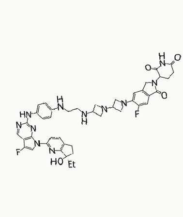 CC[C@@]1(O)CCc2ccc(-n3cc(F)c4cnc(Nc5ccc(NCCNC6CN(C7CN(c8cc9c(cc8F)C(=O)N(C8CCC(=O)NC8=O)C9)C7)C6)cc5)nc43)nc21